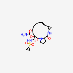 NC(=O)OC1(C(=O)NS(=O)(=O)C2CC2)CCCCC/C=C/C2CC2NC(=O)C2CCCN2C1=O